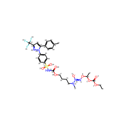 CCOC(=O)OC(C)O/N=[N+](\[O-])N(C)CCCCOC(=O)NS(=O)(=O)c1ccc(-n2nc(C(F)(F)F)cc2-c2ccc(C)cc2)cc1